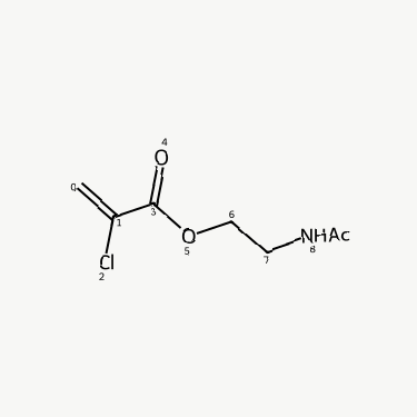 C=C(Cl)C(=O)OCCNC(C)=O